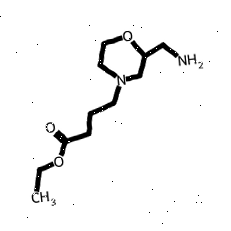 CCOC(=O)CCCN1CCOC(CN)C1